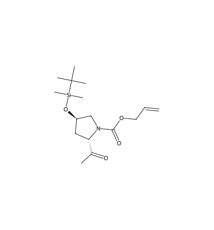 C=CCOC(=O)N1C[C@H](O[Si](C)(C)C(C)(C)C)C[C@H]1C(C)=O